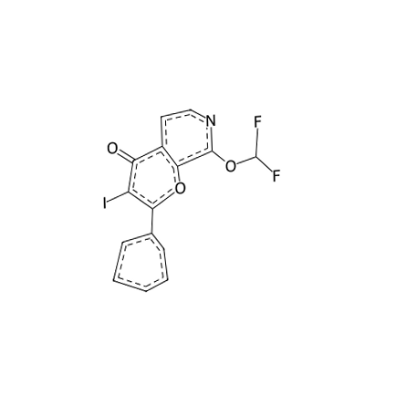 O=c1c(I)c(-c2ccccc2)oc2c(OC(F)F)nccc12